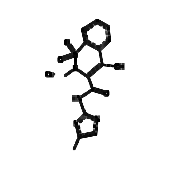 Cc1cnc(NC(=O)C2=C(O)c3ccccc3S(=O)(=O)N2C)s1.[Cu]